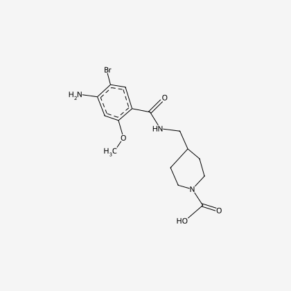 COc1cc(N)c(Br)cc1C(=O)NCC1CCN(C(=O)O)CC1